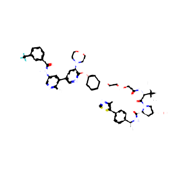 Cc1ncc(NC(=O)c2cccc(C(F)(F)F)c2)cc1-c1cnc(O[C@@H]2CCC[C@@H](OCCOCC(=O)N[C@H](C(=O)N3C[C@H](O)C[C@H]3C(=O)N[C@@H](C)c3ccc(-c4scnc4C)cc3)C(C)(C)C)C2)c(N2CCOCC2)c1